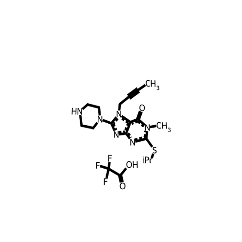 CC#CCn1c(N2CCNCC2)nc2nc(SC(C)C)n(C)c(=O)c21.O=C(O)C(F)(F)F